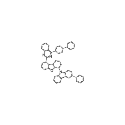 c1ccc(-c2ccc(-c3nc(-c4cccc5oc6c(-n7c8ccccc8c8cc(-c9ccccc9)ccc87)cccc6c45)nc4ccccc34)cc2)cc1